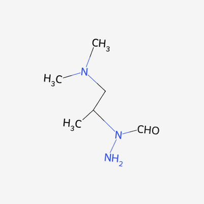 CC(CN(C)C)N(N)C=O